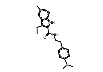 CCc1c(C(=O)NCCc2ccc(N(C)C)cc2)[nH]c2ccc(F)cc12